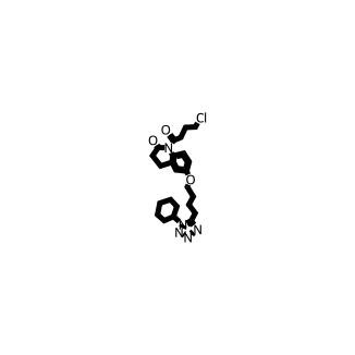 O=C(CCCCl)N1C(=O)CCc2cc(OCCCCc3nnnn3C3CCCCC3)ccc21